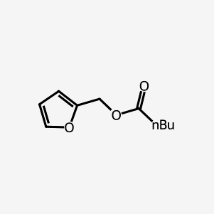 CCCCC(=O)OCc1ccco1